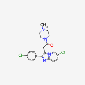 CN1CCN(C(=O)Cc2c(-c3ccc(Cl)cc3)nc3ccc(Cl)cn23)CC1